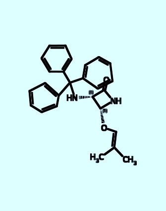 CC(C)=CO[C@H]1NC(=O)[C@H]1NC(c1ccccc1)(c1ccccc1)c1ccccc1